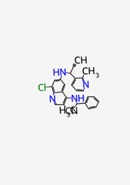 C#CC(Nc1cc(Cl)c2ncc(C#N)c(NC(C)c3ccccc3)c2c1)c1cccnc1C